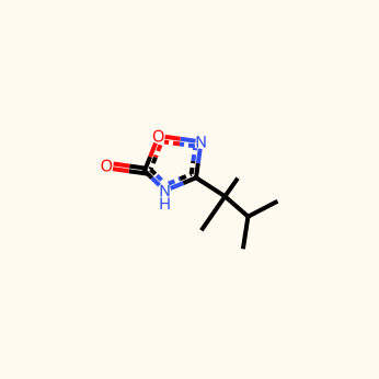 CC(C)C(C)(C)c1noc(=O)[nH]1